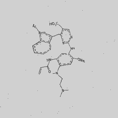 C=CC(=O)Nc1cc(Nc2ncc(C(=O)O)c(-c3cn(C(C)=O)c4ccccc34)n2)c(OC)cc1N(C)CCN(C)C